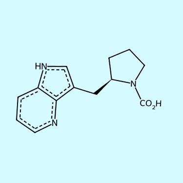 O=C(O)N1CCC[C@@H]1Cc1c[nH]c2cccnc12